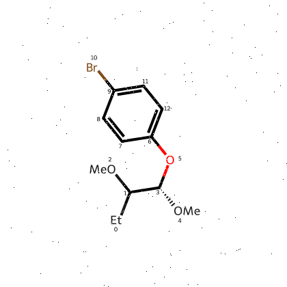 CCC(OC)[C@@H](OC)Oc1ccc(Br)cc1